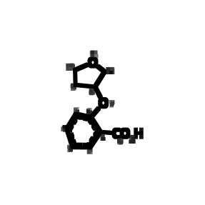 O=C(O)c1ccccc1OC1CCOC1